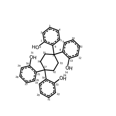 Oc1ccccc1C1(c2ccccc2O)CCC(c2ccccc2O)(c2ccccc2O)CC1